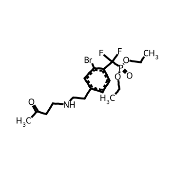 CCOP(=O)(OCC)C(F)(F)c1ccc(CCNCCC(C)=O)cc1Br